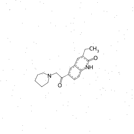 CCc1cc2cc(C(=O)CN3CCCCC3)ccc2[nH]c1=O